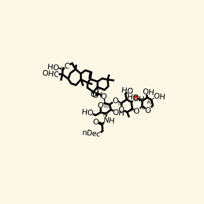 CCCCCCCCCCCC(=O)N[C@H]1C(CO)O[C@@H](OC(=O)[C@]23CCC(C)(C)CC2C2=CCC4C5(C)CC[C@H](O)C(C)(C=O)C(CCC4(C)C2(C)CC3O)C5)C(O[C@@H]2OC(C)[C@H](O[C@@H]3OC[C@@H](O)C(O)C3O)C(O)C2CO)C1O